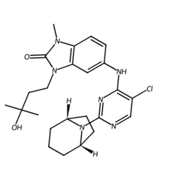 Cn1c(=O)n(CCC(C)(C)O)c2cc(Nc3nc(N4[C@@H]5CCC[C@H]4CC5)ncc3Cl)ccc21